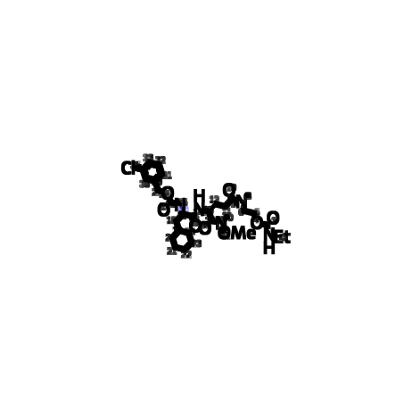 CCNC(=O)OCCN(C)C(=O)CC[C@H](NC(=O)/C(CC1CCCCC1)=N/C(=O)OCc1cccc(Cl)c1)C(=O)N(C)OC